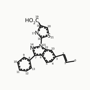 CC=Cc1ccc2c(-c3ccccc3)nn(-c3nc(C(=O)O)cs3)c2c1